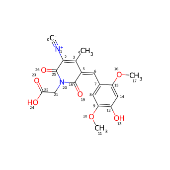 [C-]#[N+]C1=C(C)/C(=C/c2cc(OC)c(O)cc2OC)C(=O)N(CC(=O)O)C1=O